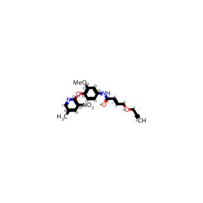 C#CCOC/C=C/C(=O)Nc1ccc(Oc2ncc(C)cc2[N+](=O)[O-])c(OC)c1